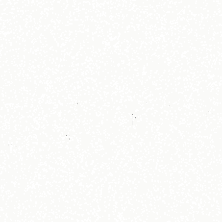 CC1CCC(C(C)C)C(OC(=O)NCC(C(=O)NCCC#N)c2ccccc2)C1